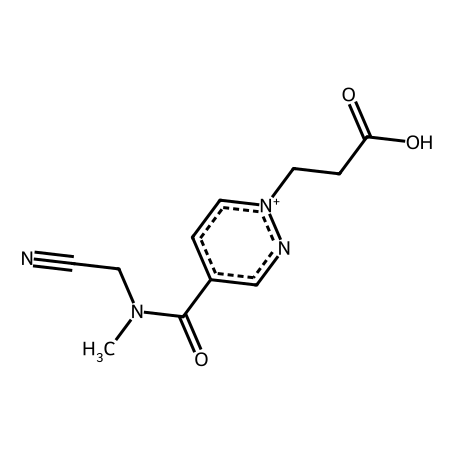 CN(CC#N)C(=O)c1cc[n+](CCC(=O)O)nc1